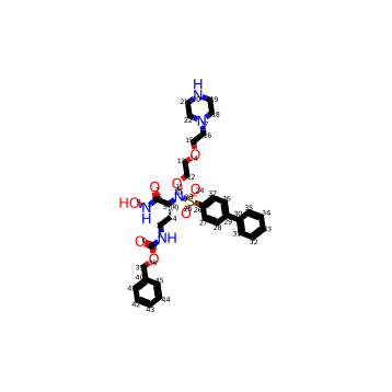 O=C(NCC[C@H](C(=O)NO)N(OCCOCCN1CCNCC1)S(=O)(=O)c1ccc(-c2ccccc2)cc1)OCc1ccccc1